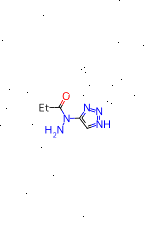 CCC(=O)N(N)c1c[nH]nn1